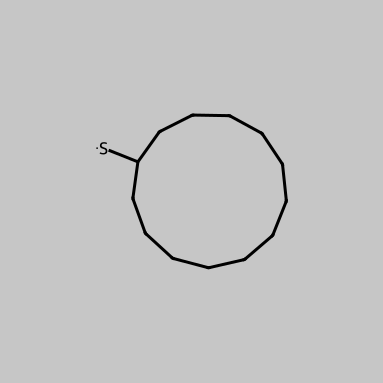 [S]C1CCCCCCCCCCCC1